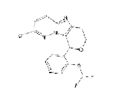 FC(F)Oc1ccccc1C1OCCc2nc3ccc(Cl)nn3c21